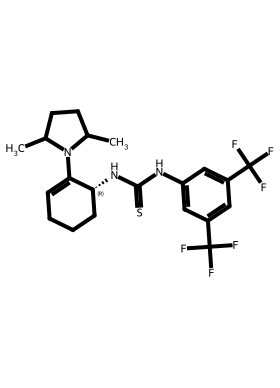 CC1CCC(C)N1C1=CCCC[C@H]1NC(=S)Nc1cc(C(F)(F)F)cc(C(F)(F)F)c1